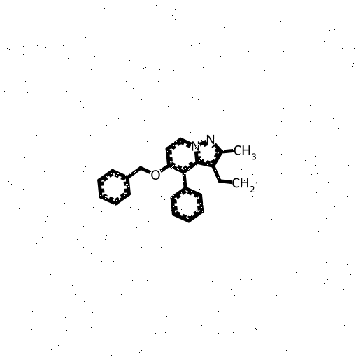 [CH2]Cc1c(C)nn2ccc(OCc3ccccc3)c(-c3ccccc3)c12